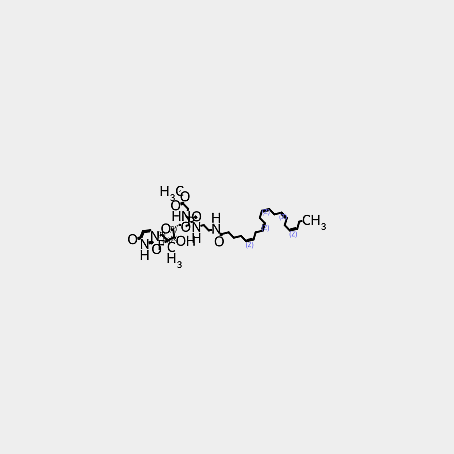 CC/C=C\C/C=C\C/C=C\C/C=C\C/C=C\CCCC(=O)NCCNP(=O)(NCC(=O)OC)OC[C@H]1O[C@@H](n2ccc(=O)[nH]c2=O)[C@](C)(F)[C@@H]1O